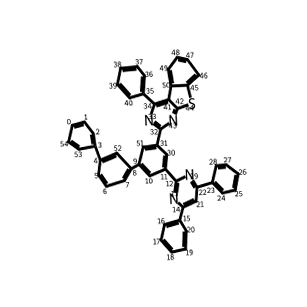 c1ccc(-c2cccc(-c3cc(-c4nc(-c5ccccc5)cc(-c5ccccc5)n4)cc(-c4nc(-c5ccccc5)c5c(n4)sc4ccccc45)c3)c2)cc1